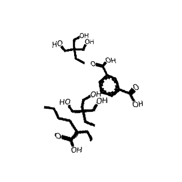 CCC(CO)(CO)CO.CCC(CO)(CO)CO.CCCCC(CC)C(=O)O.O=C(O)c1cccc(C(=O)O)c1